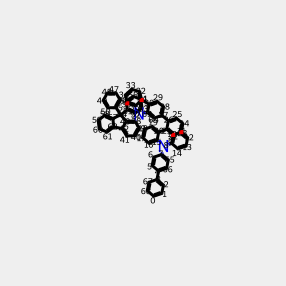 c1ccc(-c2ccc(N(c3ccccc3)c3ccccc3-c3ccccc3-c3ccc4c5ccccc5n(-c5cccc6c5C(c5ccccc5)(c5ccccc5)c5ccccc5-6)c4c3)cc2)cc1